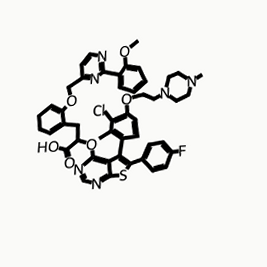 COc1ccccc1-c1nccc(COC2=CCCC=C2CC(Oc2ncnc3sc(-c4ccc(F)cc4)c(-c4ccc(OCCN5CCN(C)CC5)c(Cl)c4C)c23)C(=O)O)n1